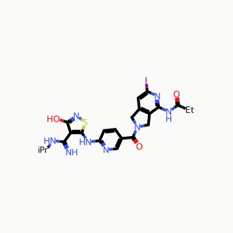 CCC(=O)Nc1nc(I)cc2c1CN(C(=O)c1ccc(Nc3snc(O)c3C(=N)NC(C)C)nc1)C2